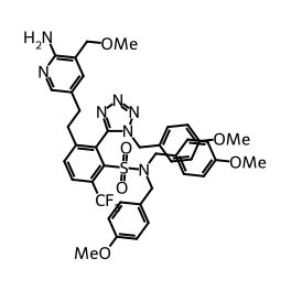 COCc1cc(CCc2ccc(C(F)(F)F)c(S(=O)(=O)N(Cc3ccc(OC)cc3)Cc3ccc(OC)cc3)c2-c2nnnn2Cc2ccc(OC)cc2)cnc1N